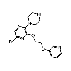 Brc1cnc(N2CCNCC2)c(OCCOc2cccnc2)n1